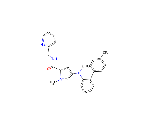 Cn1cc(N(C=O)c2ccccc2-c2ccc(C(F)(F)F)cc2)cc1C(=O)NCc1ccccn1